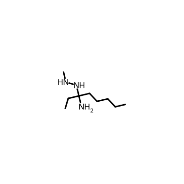 CCCCCC(N)(CC)NNC